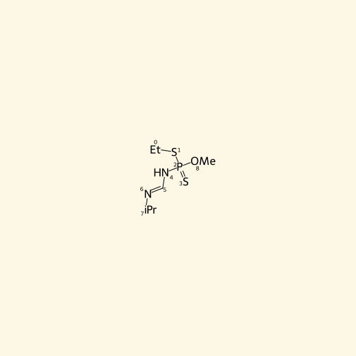 CCSP(=S)(NC=NC(C)C)OC